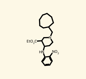 CCOC(=O)C1CN(CC2CCCCCCC2)CCC1Nc1ccccc1[N+](=O)[O-]